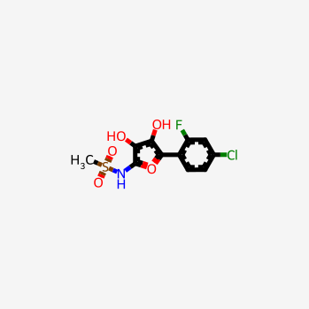 CS(=O)(=O)Nc1oc(-c2ccc(Cl)cc2F)c(O)c1O